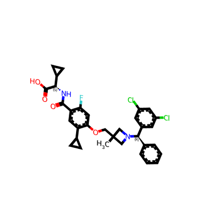 CC1(COc2cc(F)c(C(=O)N[C@H](C(=O)O)C3CC3)cc2C2CC2)CN([C@H](c2ccccc2)c2cc(Cl)cc(Cl)c2)C1